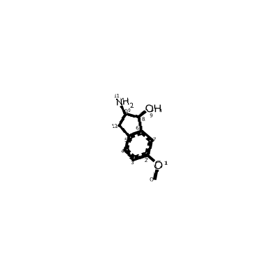 COc1ccc2c(c1)C(O)C(N)C2